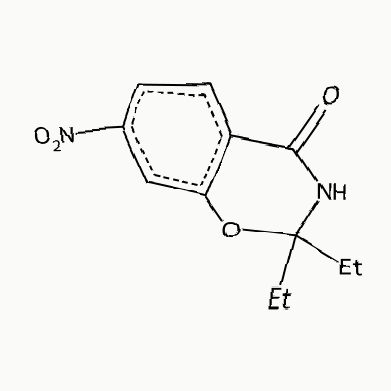 CCC1(CC)NC(=O)c2ccc([N+](=O)[O-])cc2O1